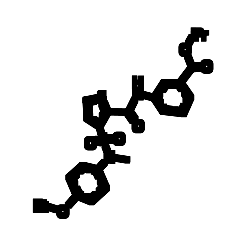 CCOc1ccc(N(C)S(=O)(=O)c2ccsc2C(=O)Nc2cccc(C(=O)OC(C)C)c2)cc1